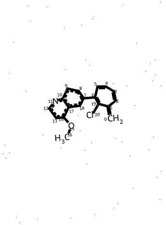 C=C1C=CC=CC(c2ccc3nccc(OC)c3c2)=C1Cl